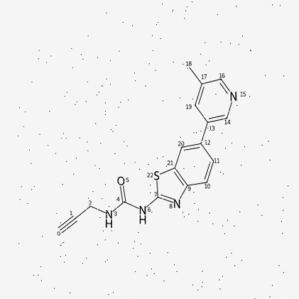 C#CCNC(=O)Nc1nc2ccc(-c3cncc(C)c3)cc2s1